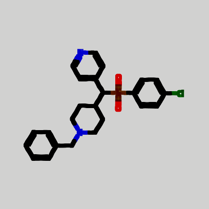 O=S(=O)(c1ccc(Cl)cc1)C(c1ccncc1)C1CCN(Cc2ccccc2)CC1